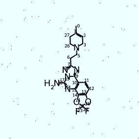 CC1=CCN(CCc2nc3c4ccc5c(c4nc(N)n3n2)OC(F)(F)O5)CC1